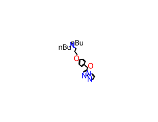 CCCCN(CCCC)CCCOc1ccc(C(=O)c2cnc3ncccn23)cc1